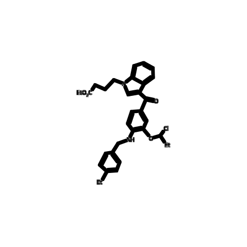 CCOC(=O)CCCn1cc(C(=O)c2ccc(NCc3ccc(CC)cc3)c(OC(Cl)CC)c2)c2ccccc21